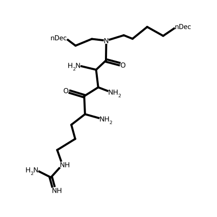 CCCCCCCCCCCCCCN(CCCCCCCCCCCC)C(=O)C(N)C(N)C(=O)C(N)CCCNC(=N)N